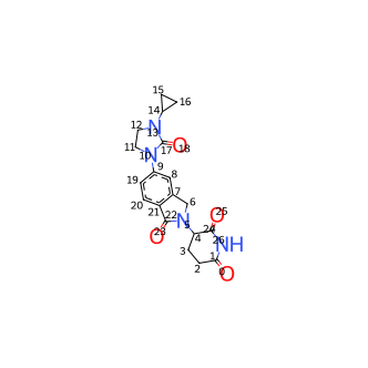 O=C1CCC(N2Cc3cc(N4CCN(C5CC5)C4=O)ccc3C2=O)C(=O)N1